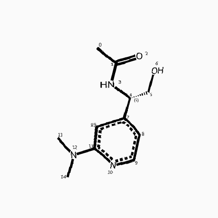 CC(=O)N[C@H](CO)c1ccnc(N(C)C)c1